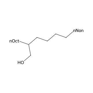 CCCCCCCCCCCCCC(CO)CCCCCCCC